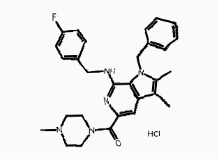 Cc1c(C)n(Cc2ccccc2)c2c(NCc3ccc(F)cc3)nc(C(=O)N3CCN(C)CC3)cc12.Cl